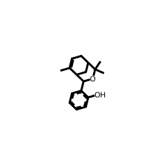 CC1=CCC2CC1C(c1ccccc1O)OC2(C)C